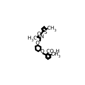 Cc1ccc(-c2nc(CO[C@H]3CCCC(OCc4cccc(C)c4C(=O)O)C3)c(C)o2)s1